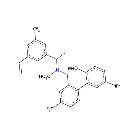 C=Cc1cc(C(C)N(Cc2cc(C(F)(F)F)ccc2-c2cc(C(C)C)ccc2OC)C(=O)O)cc(C(F)(F)F)c1